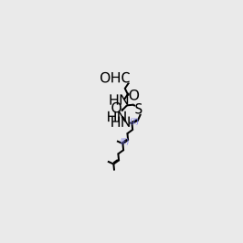 CC(C)=CCC/C(C)=C/CC/C1=C/CSCC(NC(=O)CCC=O)C(=O)NN1